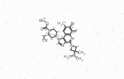 Cc1cc2c(nc(N3CC(C)(N(C)C)C3)c3ncn([C@H]4CCN(C(=O)OC(C)(C)C)[C@H](CC#N)C4)c32)c(F)c1Br